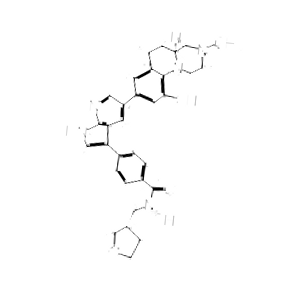 Cc1cc(-c2cnc3[nH]cc(-c4ccc(C(=O)N(C)C[C@H]5CCOC5)cc4)c3c2)cc2c1N1CCN(C)C[C@H]1CC2